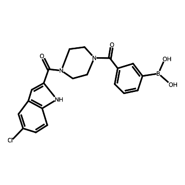 O=C(c1cccc(B(O)O)c1)N1CCN(C(=O)c2cc3cc(Cl)ccc3[nH]2)CC1